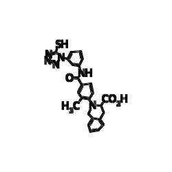 Cc1cc(C(=O)Nc2cccc(-n3nnnc3S)c2)ccc1N1Cc2ccccc2CC1C(=O)O